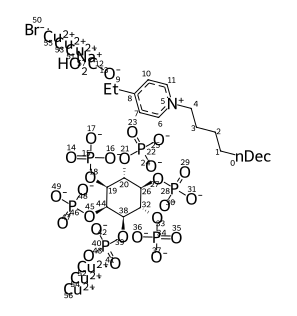 CCCCCCCCCCCCCC[n+]1ccc(CC)cc1.O=C([O-])O.O=P([O-])([O-])O[C@H]1[C@H](OP(=O)([O-])[O-])[C@@H](OP(=O)([O-])[O-])[C@H](OP(=O)([O-])[O-])[C@@H](OP(=O)([O-])[O-])[C@H]1OP(=O)([O-])[O-].[Br-].[Cu+2].[Cu+2].[Cu+2].[Cu+2].[Cu+2].[Cu+2].[Na+]